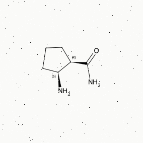 NC(=O)[C@@H]1CCC[C@@H]1N